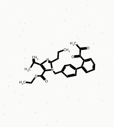 C=C(C)c1nc(CCC)n(Cc2ccc(-c3ccccc3C(=O)C(C)=O)cc2)c1C(=O)OCC